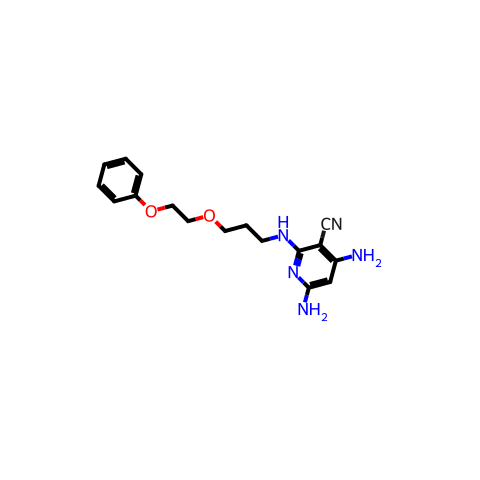 N#Cc1c(N)cc(N)nc1NCCCOCCOc1ccccc1